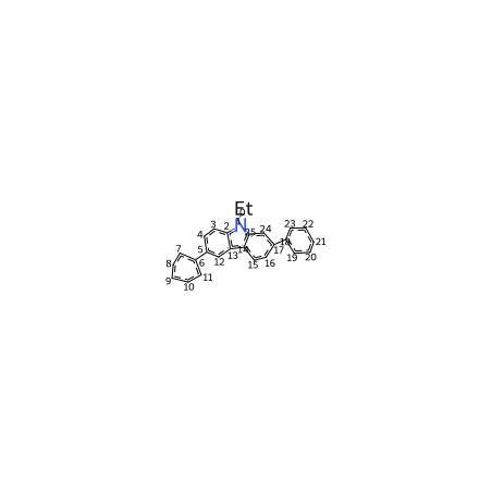 CCn1c2ccc(-c3ccccc3)cc2c2ccc(-c3ccccc3)cc21